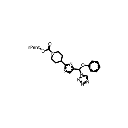 CCCCCOC(=O)N1CCC(c2nc(C(Oc3ccccc3)n3cnnn3)cs2)CC1